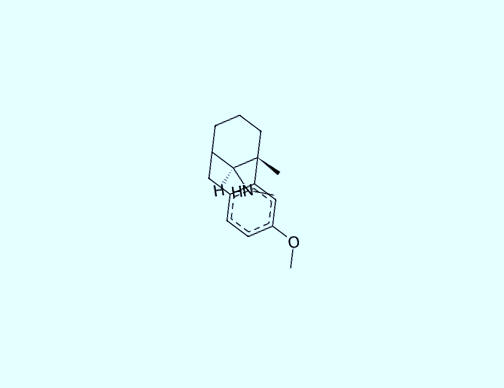 CN[C@H]1C2CCC[C@]1(C)c1cc(OC)ccc1C2